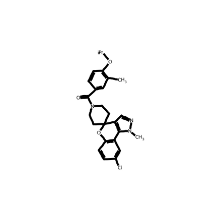 Cc1cc(C(=O)N2CCC3(CC2)Oc2ccc(Cl)cc2-c2c3cnn2C)ccc1OC(C)C